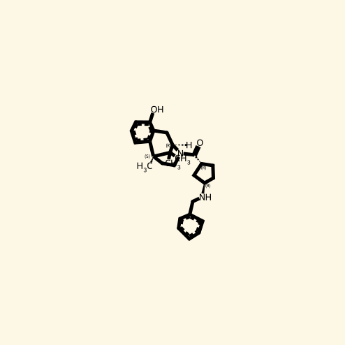 CC1(C)[C@H]2Cc3c(O)cccc3[C@]1(C)CCN2C(=O)[C@@H]1CC[C@@H](NCc2ccccc2)C1